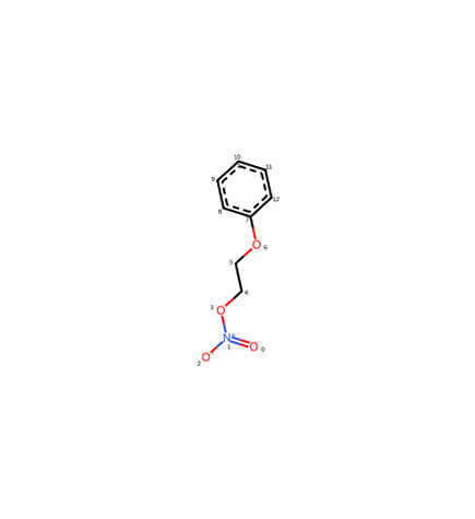 O=[N+]([O-])OCCOc1cc[c]cc1